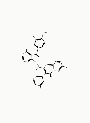 CC(C)Oc1ccc(-c2nn([C@H](C)c3nc4ccc(F)cn4c(=O)c3-c3cccc(F)c3)c3ncnc(N)c23)cc1F